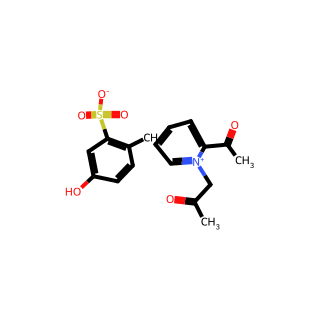 CC(=O)C[n+]1ccccc1C(C)=O.Cc1ccc(O)cc1S(=O)(=O)[O-]